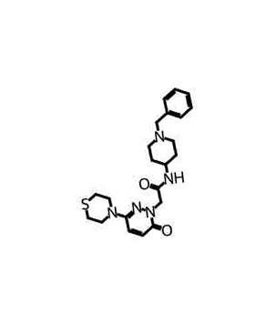 O=C(Cn1nc(N2CCSCC2)ccc1=O)NC1CCN(Cc2ccccc2)CC1